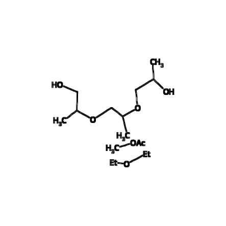 CC(O)COC(C)COC(C)CO.CCOCC.COC(C)=O